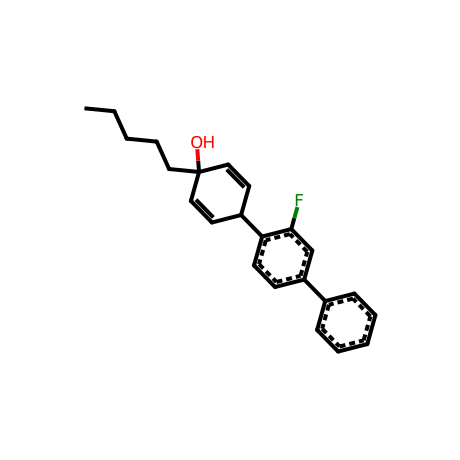 CCCCCC1(O)C=CC(c2ccc(-c3ccccc3)cc2F)C=C1